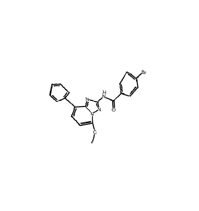 COc1ccc(-c2ccccc2)c2nc(NC(=O)c3ccc(Br)cc3)nn12